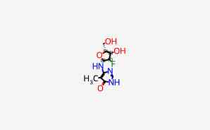 Cc1c(N[C@@H]2O[C@H](CO)[C@@H](O)[C@H]2F)nc[nH]c1=O